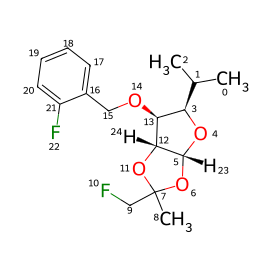 CC(C)[C@H]1O[C@@H]2OC(C)(CF)O[C@@H]2[C@H]1OCc1ccccc1F